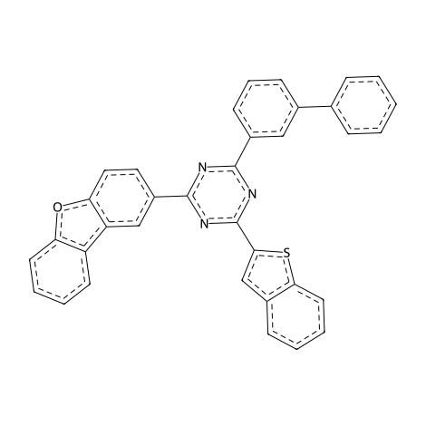 c1ccc(-c2cccc(-c3nc(-c4ccc5oc6ccccc6c5c4)nc(-c4cc5ccccc5s4)n3)c2)cc1